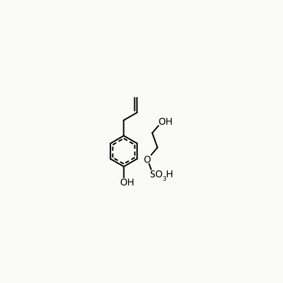 C=CCc1ccc(O)cc1.O=S(=O)(O)OCCO